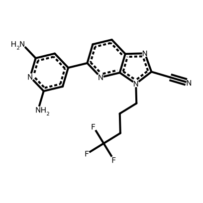 N#Cc1nc2ccc(-c3cc(N)nc(N)c3)nc2n1CCCC(F)(F)F